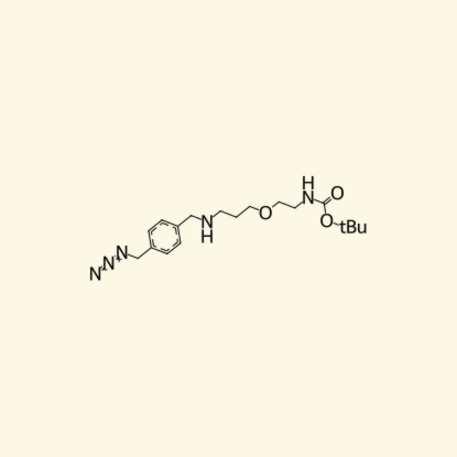 CC(C)(C)OC(=O)NCCOCCCNCc1ccc(CN=[N+]=[N-])cc1